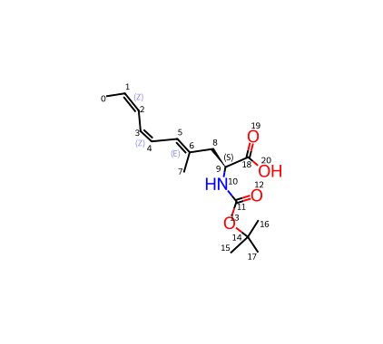 C\C=C/C=C\C=C(/C)C[C@H](NC(=O)OC(C)(C)C)C(=O)O